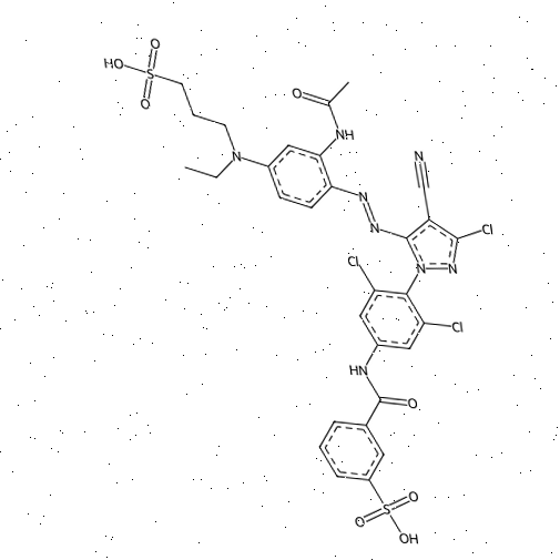 CCN(CCCS(=O)(=O)O)c1ccc(/N=N/c2c(C#N)c(Cl)nn2-c2c(Cl)cc(NC(=O)c3cccc(S(=O)(=O)O)c3)cc2Cl)c(NC(C)=O)c1